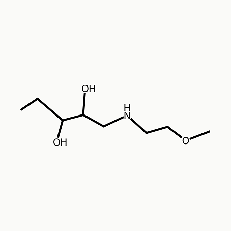 CCC(O)C(O)CNCCOC